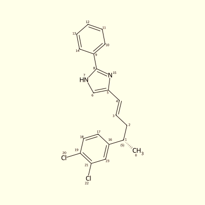 C[C@@H](CC=Cc1c[nH]c(-c2ccccc2)n1)c1ccc(Cl)c(Cl)c1